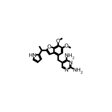 COc1cc(Cc2cnc(N)nc2N)c2cc(C(C)c3ccc[nH]3)oc2c1OC